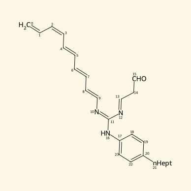 C=C\C=C/C=C/C=C/C=C/N=C(\N=C\CC=O)Nc1ccc(CCCCCCC)cc1